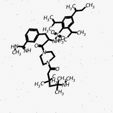 CCC(C)c1cc(C(C)C)c(S(=O)(=O)NC(Cc2cccc(C(=N)NC)c2)C(=O)N2CCN(C(=O)CC(C)(C)CC(C)(C)NC)CC2)c(C(C)C)c1